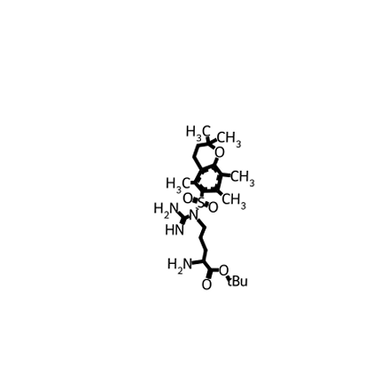 Cc1c(C)c(S(=O)(=O)N(CCCC(N)C(=O)OC(C)(C)C)C(=N)N)c(C)c2c1OC(C)(C)CC2